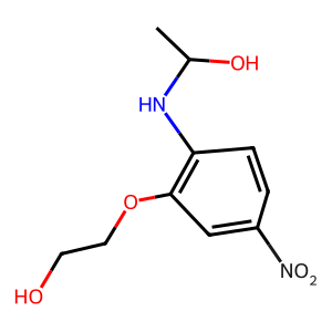 CC(O)Nc1ccc([N+](=O)[O-])cc1OCCO